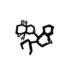 C/C=C\C(=C/C)c1cnc2ccccc2c1N1CC[C@@H]2NCCO[C@H]2C1